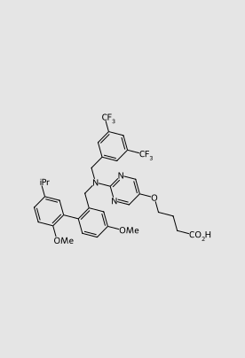 COc1ccc(-c2cc(C(C)C)ccc2OC)c(CN(Cc2cc(C(F)(F)F)cc(C(F)(F)F)c2)c2ncc(OCCCC(=O)O)cn2)c1